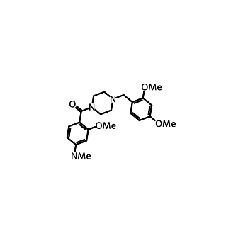 CNc1ccc(C(=O)N2CCN(Cc3ccc(OC)cc3OC)CC2)c(OC)c1